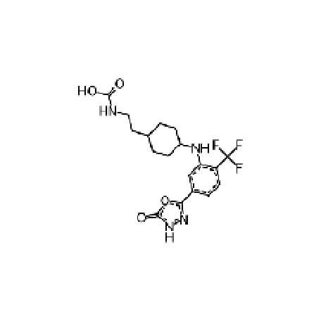 O=C(O)NCCC1CCC(Nc2cc(-c3n[nH]c(=O)o3)ccc2C(F)(F)F)CC1